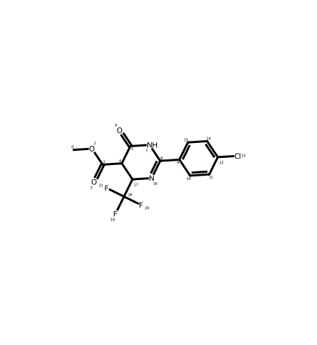 COC(=O)C1C(=O)NC(c2ccc(Cl)cc2)=NC1C(F)(F)F